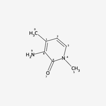 Cc1ccn(C)c(=O)c1N